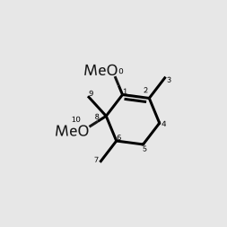 COC1=C(C)CCC(C)C1(C)OC